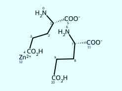 N[C@@H](CCC(=O)O)C(=O)[O-].N[C@@H](CCC(=O)O)C(=O)[O-].[Zn+2]